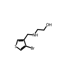 OCCNCc1cscc1Br